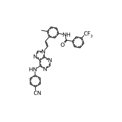 Cc1ccc(NC(=O)c2cccc(C(F)(F)F)c2)cc1/C=C/n1cnc2c(Nc3ccc(C#N)cc3)ncnc21